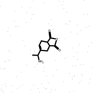 CC(N)C1=CCC2C(=O)OC(=O)C2C1